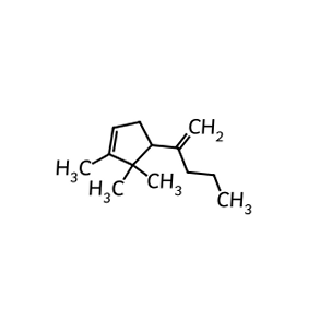 C=C(CCC)C1CC=C(C)C1(C)C